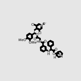 COc1ccc([C@H](Cc2c(Cl)c[n+]([O-])cc2Cl)OC(=O)CNC(=O)c2cccc(NC(C(=O)O[C@H]3CN4CCC3CC4)c3ccccc3)c2)cc1OC